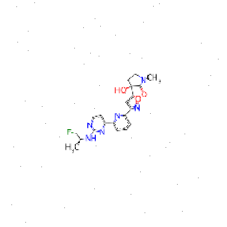 C[C@@H](CF)Nc1nccc(-c2cccc(-c3cc([C@]4(O)CCN(C)C4=O)on3)n2)n1